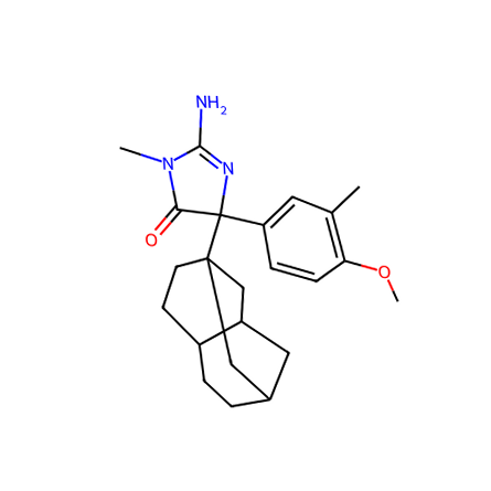 COc1ccc(C2(C34CCC5CCC(CC5C3)C4)N=C(N)N(C)C2=O)cc1C